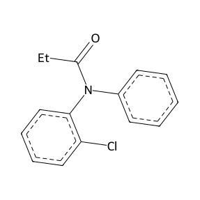 CCC(=O)N(c1ccccc1)c1ccccc1Cl